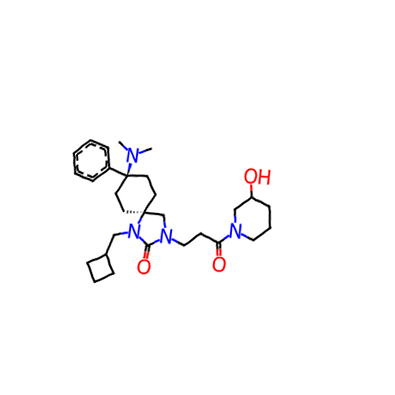 CN(C)[C@]1(c2ccccc2)CC[C@]2(CC1)CN(CCC(=O)N1CCCC(O)C1)C(=O)N2CC1CCC1